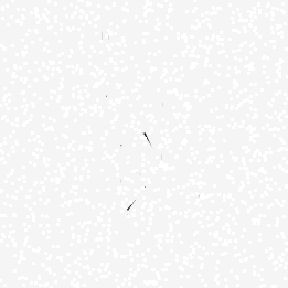 CC(C)C1CC[C@H](c2cc(CO)no2)[C@@]1(C)C(C)C